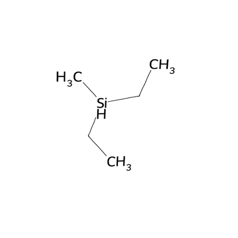 CC[SiH](C)CC